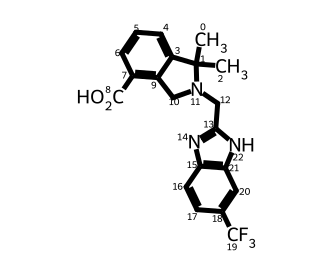 CC1(C)c2cccc(C(=O)O)c2CN1Cc1nc2ccc(C(F)(F)F)cc2[nH]1